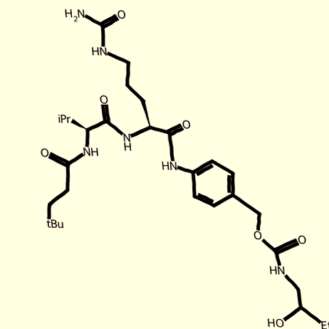 CCC(O)CNC(=O)OCc1ccc(NC(=O)[C@H](CCCNC(N)=O)NC(=O)[C@@H](NC(=O)CCC(C)(C)C)C(C)C)cc1